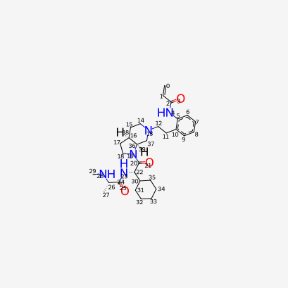 C=CC(=O)Nc1ccccc1CCN1CC[C@@H]2CCN(C(=O)[C@@H](NC(=O)[C@H](C)NC)C3CCCCC3)[C@@H]2C1